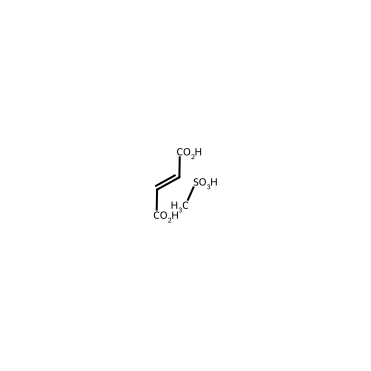 CS(=O)(=O)O.O=C(O)C=CC(=O)O